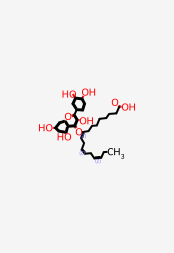 CC/C=C\C/C=C\C/C=C\CCCCCCCC(=O)O.O=c1c(O)c(-c2ccc(O)c(O)c2)oc2cc(O)cc(O)c12